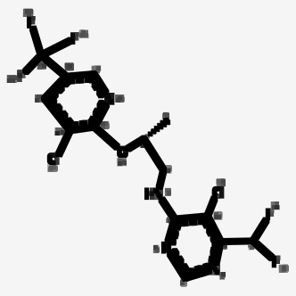 C[C@H](CNc1ncnc(C(F)F)c1Cl)Oc1ncc(C(F)(F)F)cc1Cl